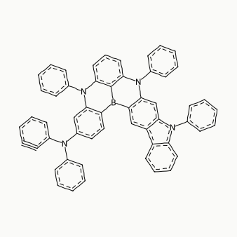 c1cccc(N(c2ccccc2)c2ccc3c(c2)N(c2ccccc2)c2cccc4c2B3c2cc3c5ccccc5n(-c5ccccc5)c3cc2N4c2ccccc2)c#1